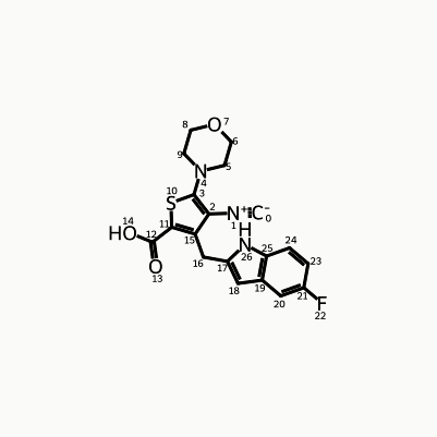 [C-]#[N+]c1c(N2CCOCC2)sc(C(=O)O)c1Cc1cc2cc(F)ccc2[nH]1